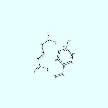 C=C(C)C=CCC(C)C.C=Cc1ccc(C)cc1